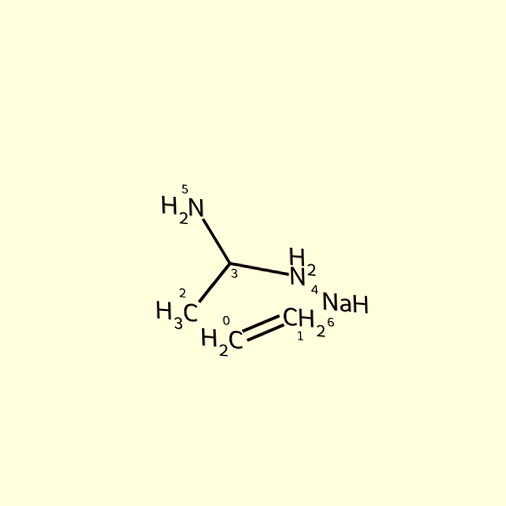 C=C.CC(N)N.[NaH]